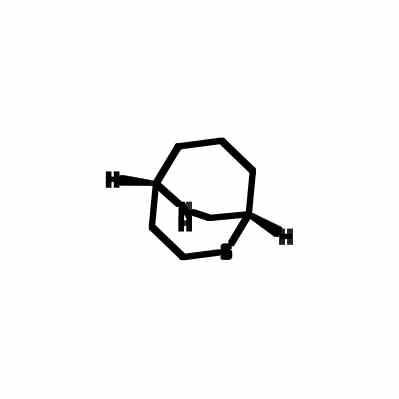 C1C[C@H]2CCS[C@@H](C1)CN2